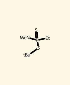 CCP(=S)(NC)SC(C)(C)C